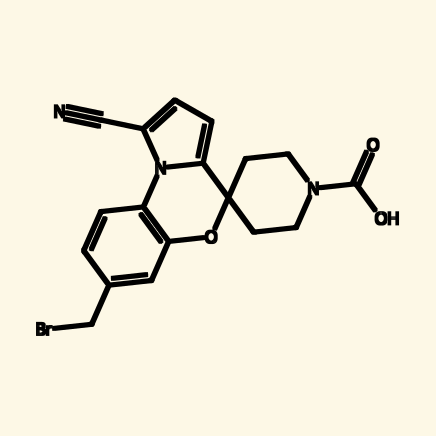 N#Cc1ccc2n1-c1ccc(CBr)cc1OC21CCN(C(=O)O)CC1